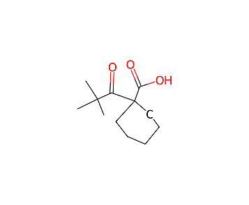 CC(C)(C)C(=O)C1(C(=O)O)CCCCC1